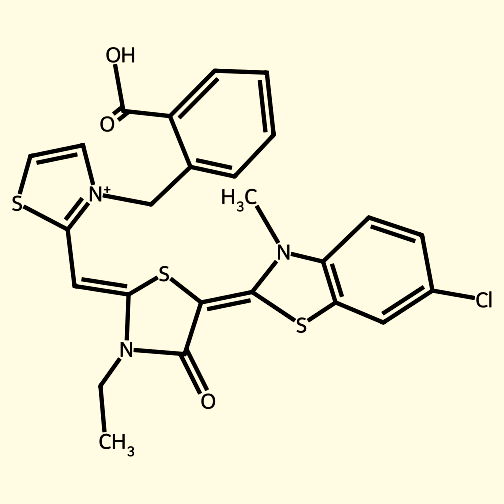 CCn1c(=O)/c(=C2\Sc3cc(Cl)ccc3N2C)s/c1=C\c1scc[n+]1Cc1ccccc1C(=O)O